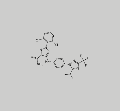 CC(C)c1nc(C(F)(F)F)nn1-c1ccc(Nc2cn(-c3c(Cl)cccc3Cl)nc2C(N)=O)cc1